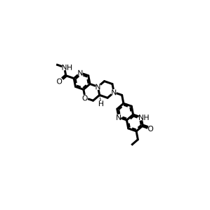 CCc1cc2ncc(CN3CCN4c5cnc(C(=O)NC)cc5OC[C@@H]4C3)cc2[nH]c1=O